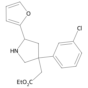 CCOC(=O)CC1(c2cccc(Cl)c2)CNC(c2ccco2)C1